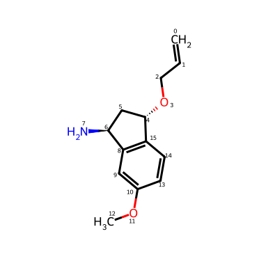 C=CCO[C@H]1C[C@H](N)c2cc(OC)ccc21